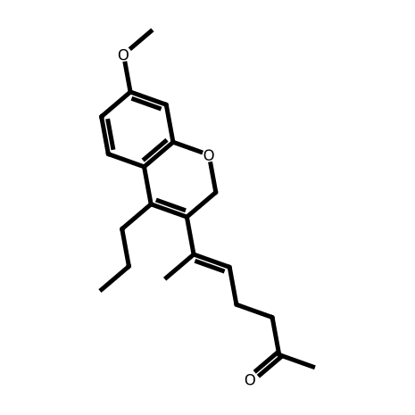 CCCC1=C(/C(C)=C/CCC(C)=O)COc2cc(OC)ccc21